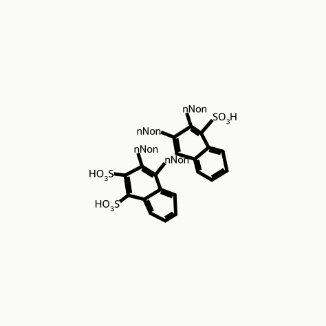 CCCCCCCCCc1c(S(=O)(=O)O)c(S(=O)(=O)O)c2ccccc2c1CCCCCCCCC.CCCCCCCCCc1cc2ccccc2c(S(=O)(=O)O)c1CCCCCCCCC